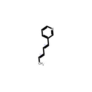 [CH2]/C=C/C=C/c1cccnc1